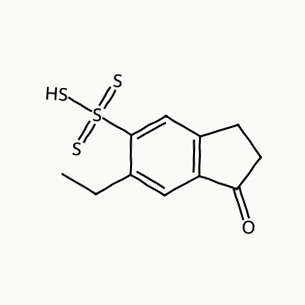 CCc1cc2c(cc1S(=S)(=S)S)CCC2=O